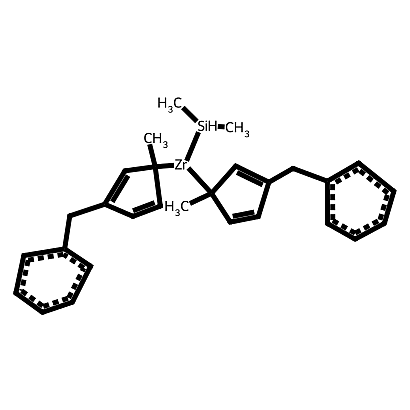 C[SiH](C)[Zr]([C]1(C)C=CC(Cc2ccccc2)=C1)[C]1(C)C=CC(Cc2ccccc2)=C1